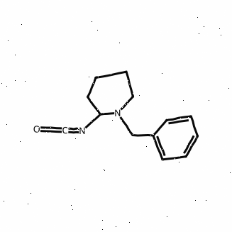 O=C=NC1CCCCN1Cc1ccccc1